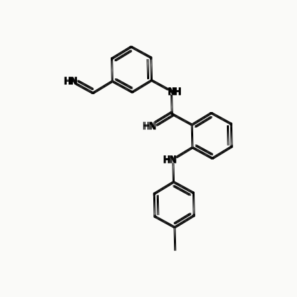 Cc1ccc(Nc2ccccc2C(=N)Nc2cccc(C=N)c2)cc1